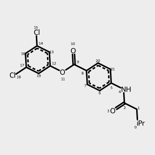 CC(C)CC(=O)Nc1ccc(C(=O)Oc2cc(Cl)cc(Cl)c2)cc1